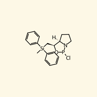 C[Si](C[C@@H]1OP(Cl)N2CCC[C@H]12)(c1ccccc1)c1ccccc1